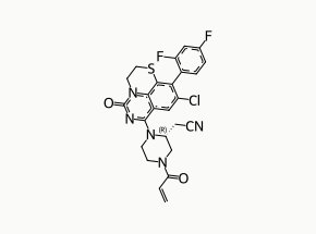 C=CC(=O)N1CCN(c2nc(=O)n3c4c(c(-c5ccc(F)cc5F)c(Cl)cc24)SCC3)[C@H](CC#N)C1